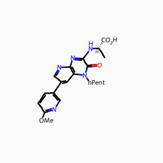 CCCCCn1c(=O)c(N[C@@H](C)C(=O)O)nc2ncc(-c3ccc(OC)nc3)cc21